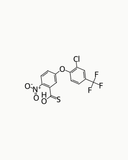 O=[N+]([O-])c1ccc(Oc2ccc(C(F)(F)F)cc2Cl)cc1C(O)=S